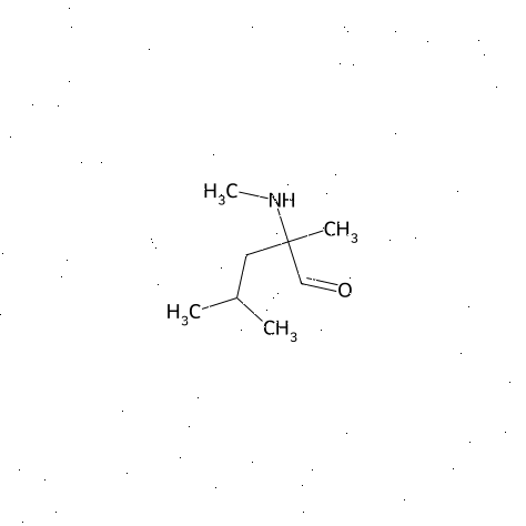 CNC(C)(C=O)CC(C)C